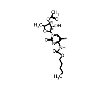 CCCCCOC(=O)Nc1nc(=O)n(C2OC(C)[C@@H](OC(C)=O)[C@H]2O)cc1F